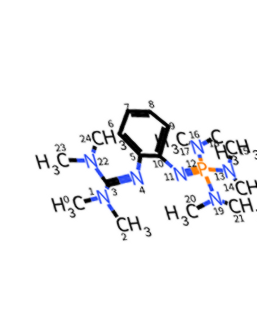 CN(C)C(=Nc1ccccc1N=P(N(C)C)(N(C)C)N(C)C)N(C)C